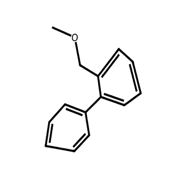 COCc1ccccc1-c1ccccc1